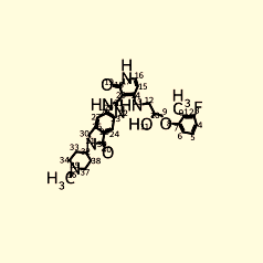 Cc1c(F)cccc1OCC(O)CNc1cc[nH]c(=O)c1-c1nc2cc3c(cc2[nH]1)CN(C1CCN(C)CC1)C3=O